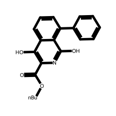 CCCCOC(=O)c1nc(O)c2c(-c3ccccc3)cccc2c1O